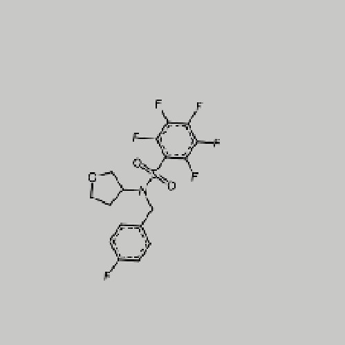 O=S(=O)(c1c(F)c(F)c(F)c(F)c1F)N(Cc1ccc(F)cc1)C1CCOC1